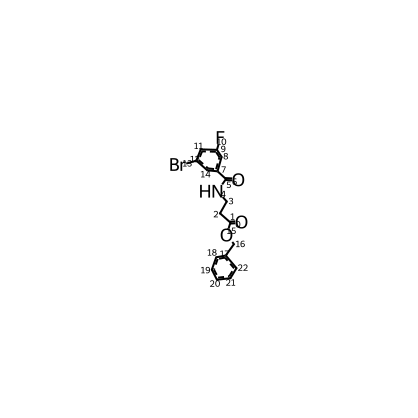 O=C(CCNC(=O)c1cc(F)cc(Br)c1)OCc1ccccc1